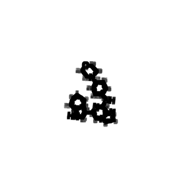 c1ccc2c(-c3cn4ccnc4c(Nc4ccc(N5CCOCC5)cc4)n3)c[nH]c2c1